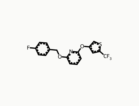 Fc1ccc(COc2cccc(Oc3csc(C(F)(F)F)c3)n2)cc1